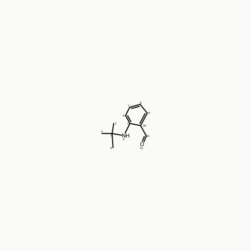 CC(C)(C)Nc1ccccc1C=O